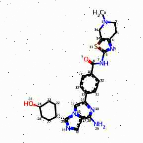 CN1CCc2nc(NC(=O)c3ccc(-c4cn5c(cnc5[C@H]5CC[C@H](O)CC5)c(N)n4)cc3)sc2C1